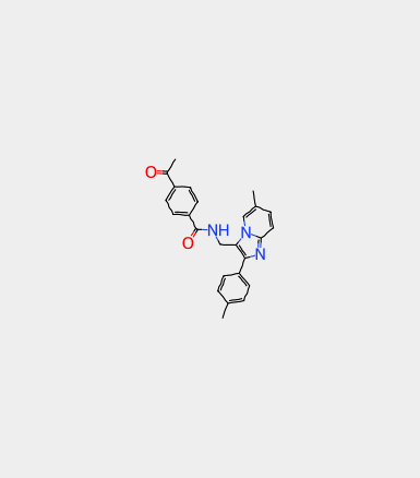 CC(=O)c1ccc(C(=O)NCc2c(-c3ccc(C)cc3)nc3ccc(C)cn23)cc1